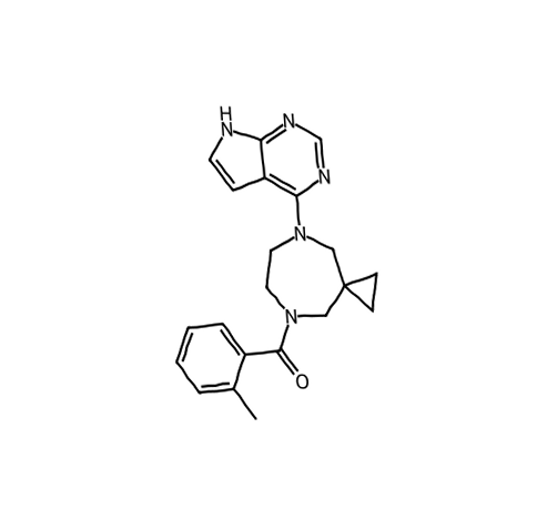 Cc1ccccc1C(=O)N1CCN(c2ncnc3[nH]ccc23)CC2(CC2)C1